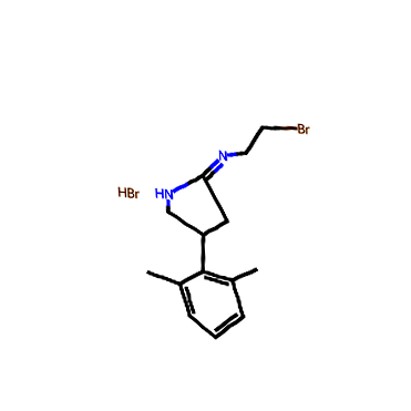 Br.Cc1cccc(C)c1C1CNC(=NCCBr)C1